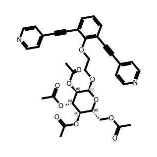 CC(=O)OC[C@H]1O[C@H](OCCOc2c(C#Cc3ccncc3)cccc2C#Cc2ccncc2)[C@H](OC(C)=O)[C@@H](OC(C)=O)[C@@H]1OC(C)=O